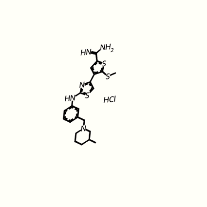 CSc1sc(C(=N)N)cc1-c1csc(Nc2cccc(CN3CCCC(C)C3)c2)n1.Cl